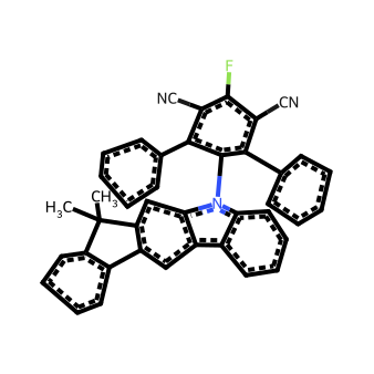 CC1(C)c2ccccc2-c2cc3c4ccccc4n(-c4c(-c5ccccc5)c(C#N)c(F)c(C#N)c4-c4ccccc4)c3cc21